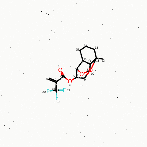 C=C(C(=O)OC1C2OC3C1OC1(C)CCCC2C31)C(F)(F)F